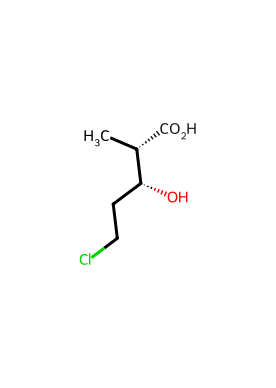 C[C@H](C(=O)O)[C@H](O)CCCl